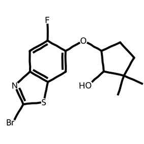 CC1(C)CCC(Oc2cc3sc(Br)nc3cc2F)C1O